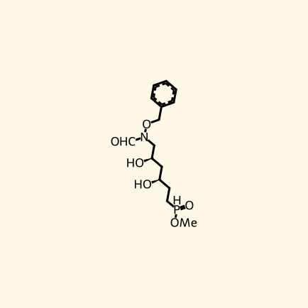 CO[PH](=O)CC[C@@H](O)C[C@@H](O)CN(C=O)OCc1ccccc1